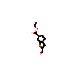 CCOC(=O)c1ccc2cc(C=O)sc2c1